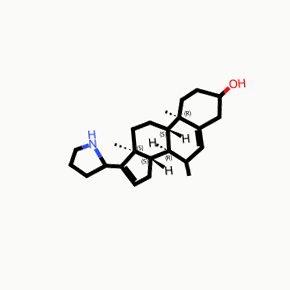 CC1C=C2CC(O)CC[C@]2(C)[C@H]2CC[C@]3(C)C(C4CCCN4)=CC[C@H]3[C@H]12